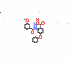 COc1cccc(C(=O)Nc2cc(Oc3ccccc3)ccc2C(=O)O)c1